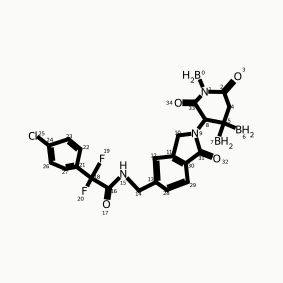 BN1C(=O)CC(B)(B)C(N2Cc3cc(CNC(=O)C(F)(F)c4ccc(Cl)cc4)ccc3C2=O)C1=O